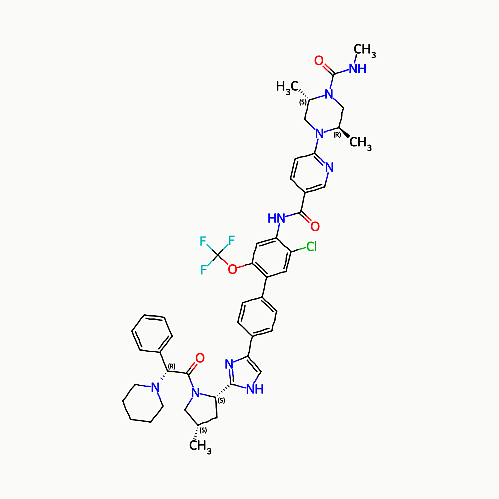 CNC(=O)N1C[C@@H](C)N(c2ccc(C(=O)Nc3cc(OC(F)(F)F)c(-c4ccc(-c5c[nH]c([C@@H]6C[C@H](C)CN6C(=O)[C@@H](c6ccccc6)N6CCCCC6)n5)cc4)cc3Cl)cn2)C[C@@H]1C